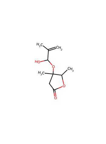 C=C(C)C(O)OC1(C)CC(=O)OC1C